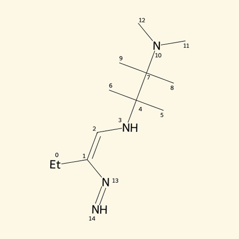 CC/C(=C/NC(C)(C)C(C)(C)N(C)C)N=N